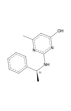 Cc1cc(O)nc(N[C@@H](C)c2ccccc2)n1